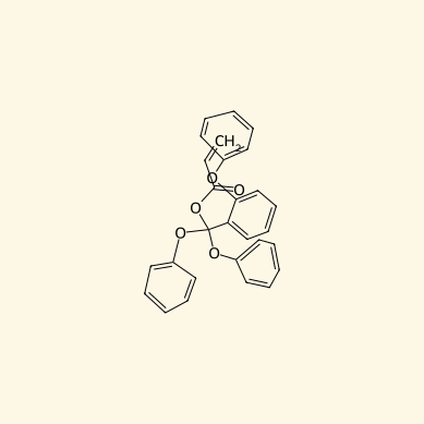 C=CC(=O)OC(Oc1ccccc1)(Oc1ccccc1)c1ccccc1Oc1ccccc1